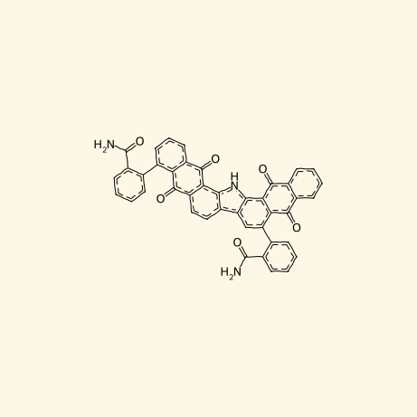 NC(=O)c1ccccc1-c1cccc2c(=O)c3c(ccc4c5cc(-c6ccccc6C(N)=O)c6c(=O)c7ccccc7c(=O)c6c5[nH]c43)c(=O)c12